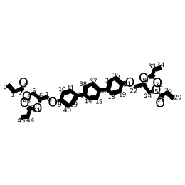 C=CC(=O)OCC(COc1ccc(-c2ccc(-c3ccc(OCC(COC(=O)C=C)OC(=O)C=C)cc3)cc2)cc1)OC(=O)C=C